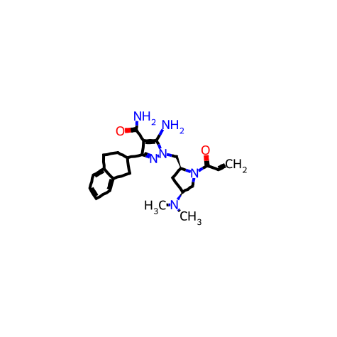 C=CC(=O)N1C[C@@H](N(C)C)C[C@H]1Cn1nc(C2CCc3ccccc3C2)c(C(N)=O)c1N